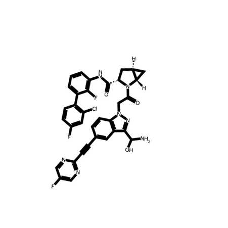 NC(O)c1nn(CC(=O)N2[C@H](C(=O)Nc3cccc(-c4ccc(F)cc4Cl)c3F)C[C@H]3C[C@@H]32)c2ccc(C#Cc3ncc(F)cn3)cc12